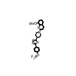 COc1cccc2ccc(N3CCC(c4nc(-c5ccc(OC(F)(F)F)cc5)no4)CC3)nc12